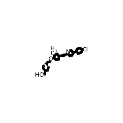 Cc1cc(C#Cc2ccc(-c3ccc(Cl)cc3)cn2)ccc1OCCN1CCC(CO)CC1